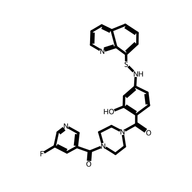 O=C(c1cncc(F)c1)N1CCN(C(=O)c2ccc(NSc3cccc4cccnc34)cc2O)CC1